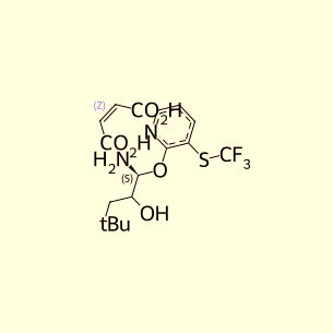 CC(C)(C)CC(O)[C@@H](N)Oc1ncccc1SC(F)(F)F.O=C(O)/C=C\C(=O)O